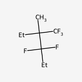 CCC(F)(F)C(C)(CC)C(F)(F)F